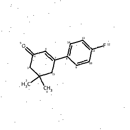 CC1(C)CC(=O)C=C(c2ccc(F)cc2)C1